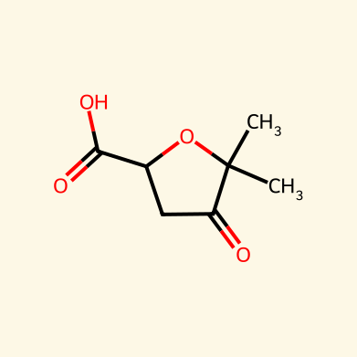 CC1(C)OC(C(=O)O)CC1=O